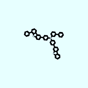 c1ccc(-c2cccc(N(c3ccc(-c4ccc5c(c4)sc4ccccc45)cc3)c3ccc(-c4ccc5oc6c(-c7ccccc7)cccc6c5c4)cc3)c2)cc1